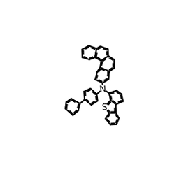 c1ccc(-c2ccc(N(c3ccc4c(ccc5ccc6ccccc6c54)c3)c3cccc4c3sc3ccccc34)cc2)cc1